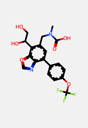 CN(Cc1cc(-c2ccc(OC(F)(F)F)cc2)c2ncoc2c1C(O)CO)C(=O)O